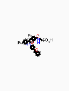 CCc1cc(C(=O)NCCS(=O)(=O)O)ccc1CC(C(=O)Nc1ccc(-c2cc3ccccc3o2)cc1)c1ccc(C(C)(C)C)cc1